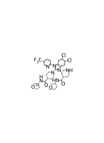 O=C(NC1CCOC1)C1CCNCC1.O=C(N[C@@H]1CCOC1)C1CCN(c2nc3cc(Cl)c(Cl)cc3n2-c2ccc(C(F)(F)F)cn2)CC1